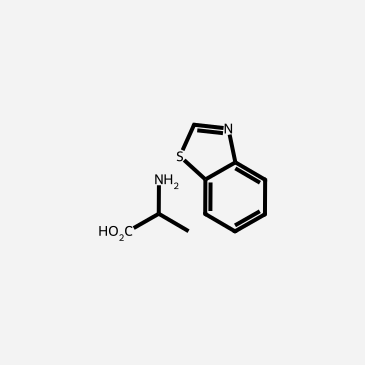 CC(N)C(=O)O.c1ccc2scnc2c1